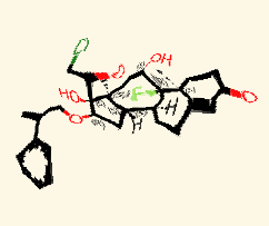 C=C(CO[C@@H]1C[C@H]2[C@@H]3CCC4=CC(=O)C=C[C@]4(C)[C@@]3(F)[C@@H](O)C[C@]2(C)[C@@]1(O)C(=O)CCl)c1ccccc1